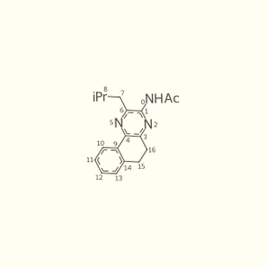 CC(=O)Nc1nc2c(nc1CC(C)C)-c1ccccc1CC2